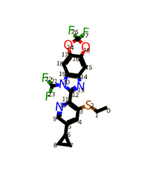 CCSc1cc(C2CC2)cnc1-c1nc2cc3c(cc2n1C(F)F)OC(F)(F)O3